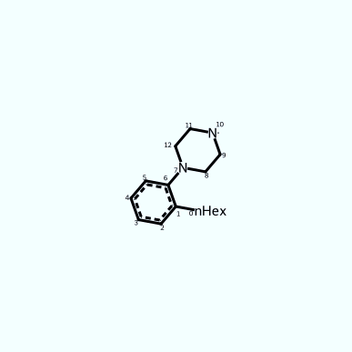 CCCCCCc1ccccc1N1CC[N]CC1